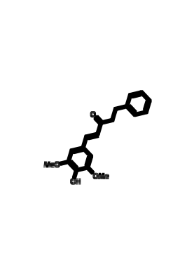 COc1cc(C=CC(=O)CCc2ccccc2)cc(OC)c1O